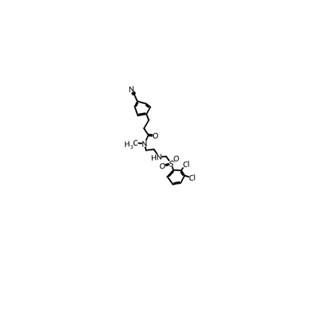 CN(CCNCS(=O)(=O)c1cccc(Cl)c1Cl)C(=O)CCc1ccc(C#N)cc1